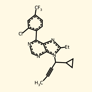 CC#CC(C1CC1)n1c(CC)nc2c(-c3ccc(C(F)(F)F)cc3Cl)ncnc21